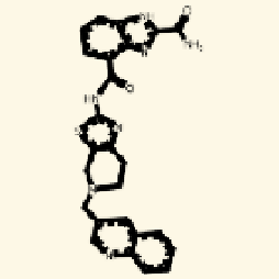 NC(=O)c1nc2c(C(=O)Nc3nc4c(s3)CN(Cc3cnc5ccccc5c3)CC4)cccc2[nH]1